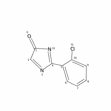 O=C1C=NC(c2ccccc2Cl)=N1